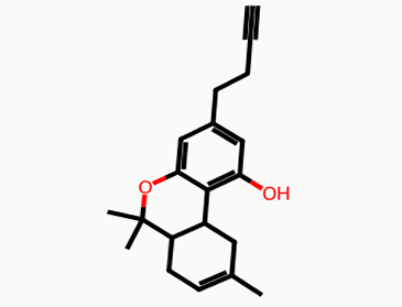 C#CCCc1cc(O)c2c(c1)OC(C)(C)C1CC=C(C)CC21